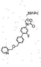 CC(=O)NC[C@H]1CN(c2ccc(-c3ccc(COCc4ccccn4)cc3)c(F)c2)C(=O)O1